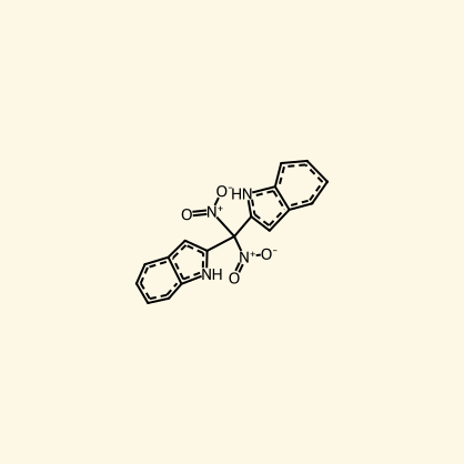 O=[N+]([O-])C(c1cc2ccccc2[nH]1)(c1cc2ccccc2[nH]1)[N+](=O)[O-]